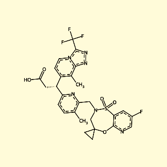 Cc1ccc([C@H](CC(=O)O)c2ccn3c(C(F)(F)F)nnc3c2C)nc1CN1CC2(CC2)Oc2ncc(F)cc2S1(=O)=O